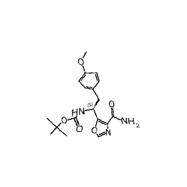 COc1ccc(C[C@H](NC(=O)OC(C)(C)C)c2ocnc2C(N)=O)cc1